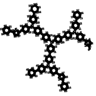 Cc1ccc(-c2ccc(N(c3ccc(-c4ccccc4)cc3)c3ccc(-c4ccc(N(c5ccc(-c6ccc(N(c7ccc(-c8ccccc8)cc7)c7ccc(-c8ccc(-c9ccccc9)s8)cc7)cc6)cc5)c5ccc(-c6ccc(N(c7ccc(-c8ccc(-c9ccccc9)s8)cc7)c7ccc(C8CCCCC8)cc7)cc6)cc5)cc4)cc3)cc2)s1